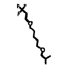 CC(C)COCCCCCOCCC(F)(F)F